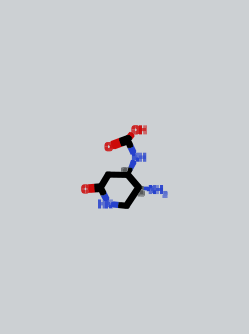 N[C@@H]1CNC(=O)C[C@H]1NC(=O)O